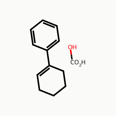 C1=C(c2ccccc2)CCCC1.O=C(O)O